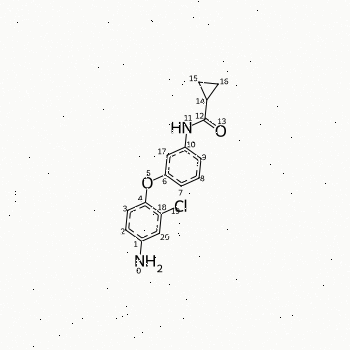 Nc1ccc(Oc2cccc(NC(=O)C3CC3)c2)c(Cl)c1